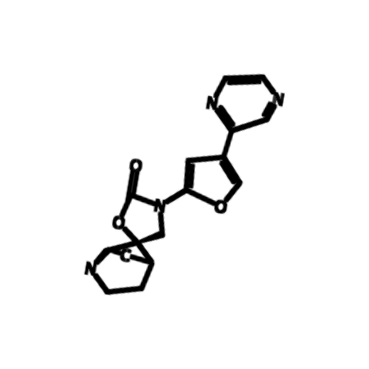 O=C1O[C@]2(CN3CCC2CC3)CN1c1cc(-c2cnccn2)co1